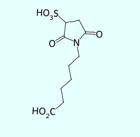 O=C(O)CCCCCN1C(=O)CC(S(=O)(=O)O)C1=O